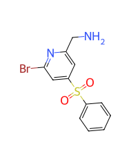 NCc1cc(S(=O)(=O)c2ccccc2)cc(Br)n1